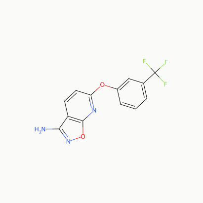 Nc1noc2nc(Oc3cccc(C(F)(F)F)c3)ccc12